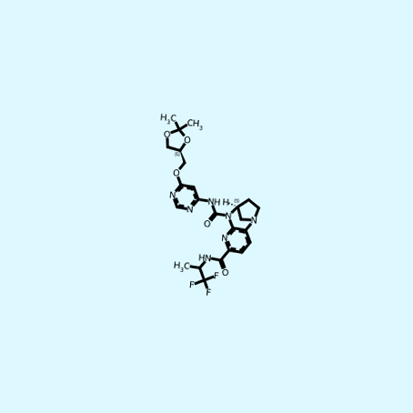 CC(NC(=O)c1ccc2c(n1)N(C(=O)Nc1cc(OC[C@H]3COC(C)(C)O3)ncn1)[C@H]1CCN2C1)C(F)(F)F